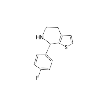 Fc1ccc(C2NCCc3ccsc32)cc1